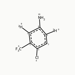 [2H]c1cc(Cl)c(C(F)(F)F)c([2H])c1N